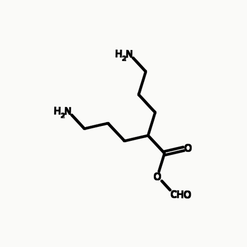 NCCCC(CCCN)C(=O)OC=O